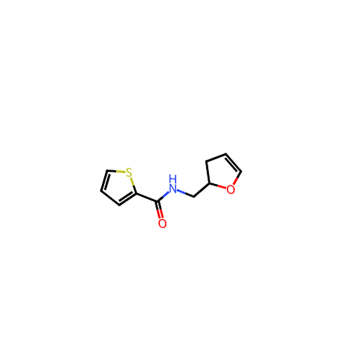 O=C(NCC1CC=CO1)c1cccs1